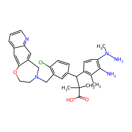 Cc1c(C(c2ccc(Cl)c(CN3CCOc4cc5cccnc5cc4C3)c2)C(C)(C)C(=O)O)ccc(N(C)N)c1N